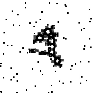 CCCCC(=O)OC(CCCC1Cc2[nH]c3c(F)ccc(-c4ccc(F)cc4)c3c2CN1)c1ccc(F)cc1.Cl